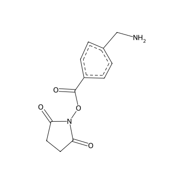 NCc1ccc(C(=O)ON2C(=O)CCC2=O)cc1